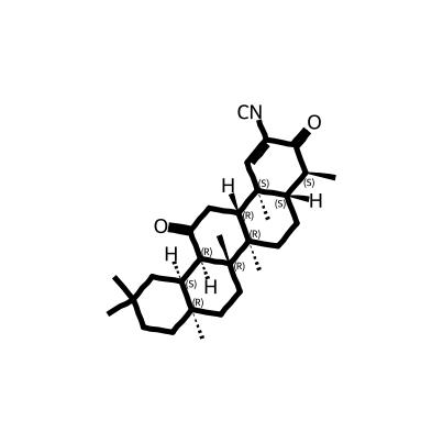 [C-]#[N+]C1=C[C@]2(C)[C@H]3CC(=O)[C@@H]4[C@@H]5CC(C)(C)CC[C@]5(C)CC[C@@]4(C)[C@]3(C)CC[C@H]2[C@H](C)C1=O